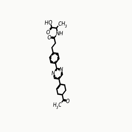 CC(=O)C1CC=C(c2cnc(-c3ccc(CCC(=O)NC(C)C(=O)O)cc3)nc2)CC1